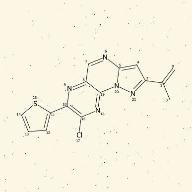 C=C(C)c1cc2ncc3nc(-c4cccs4)c(Cl)nc3n2n1